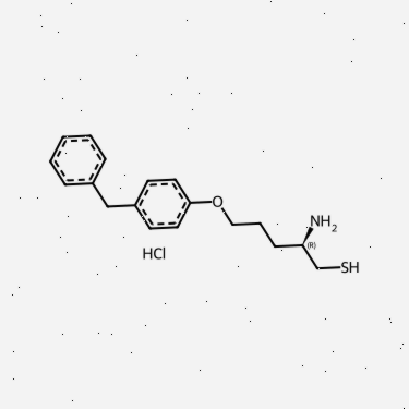 Cl.N[C@@H](CS)CCCOc1ccc(Cc2ccccc2)cc1